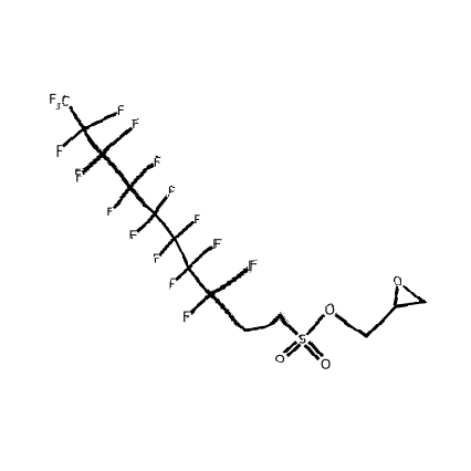 O=S(=O)(CCC(F)(F)C(F)(F)C(F)(F)C(F)(F)C(F)(F)C(F)(F)C(F)(F)C(F)(F)F)OCC1CO1